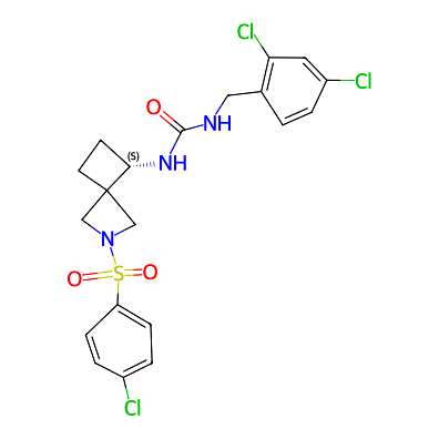 O=C(NCc1ccc(Cl)cc1Cl)N[C@H]1CCC12CN(S(=O)(=O)c1ccc(Cl)cc1)C2